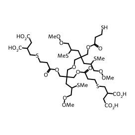 COOCC(CC(COCC(COC(=O)CCS)(CC(COOC)SC)CC(COOC)SC)(COC(=O)CCSCC(CC(=O)O)C(=O)O)COC(=O)CCSCC(CC(=O)O)C(=O)O)SC